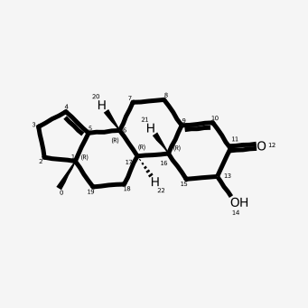 C[C@@]12CCC=C1[C@@H]1CCC3=CC(=O)C(O)C[C@@H]3[C@H]1CC2